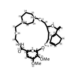 C=C(OC1CCCOc2cc(cc(OC)c2OC)C(=O)NCCCN2CCCN(CC1)CC2)C1=CC=CCC1